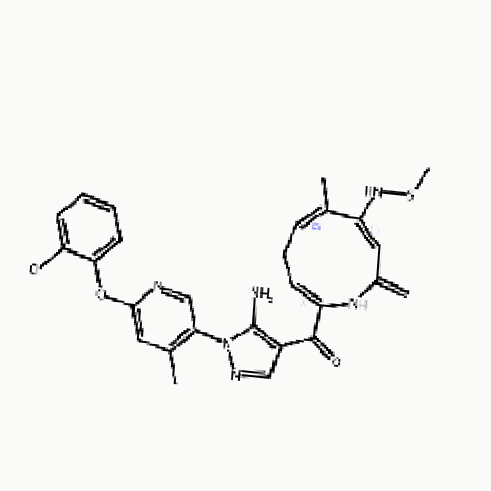 C=C1/C=C(NSC)\C(C)=C/C/C=C(/C(=O)c2cnn(-c3cnc(Oc4ccccc4Cl)cc3C)c2N)N1